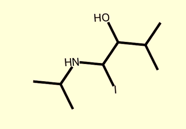 CC(C)NC(I)C(O)C(C)C